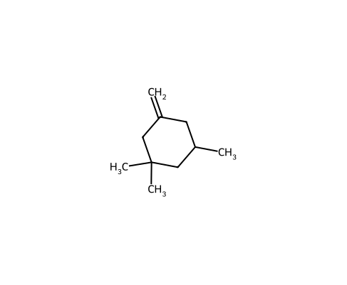 C=C1CC(C)CC(C)(C)C1